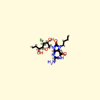 CCCCn1c(=O)n([C@@H]2O[C@H]([C@@H](O)CC)[C@H](F)[C@H]2O)c2nc(N)[nH]c(=O)c21